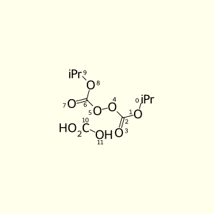 CC(C)OC(=O)OOC(=O)OC(C)C.O=C(O)O